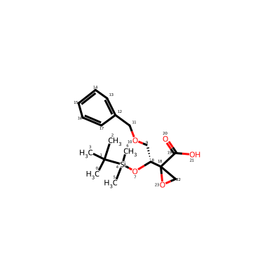 CC(C)(C)[Si](C)(C)O[C@H](COCc1ccccc1)C1(C(=O)O)CO1